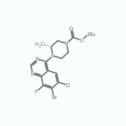 C[C@@H]1CN(C(=O)OC(C)(C)C)CCN1c1ncnc2c(F)c(Br)c(Cl)cc12